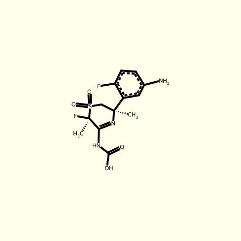 C[C@@]1(c2cc(N)ccc2F)CS(=O)(=O)[C@](C)(F)C(NC(=O)O)=N1